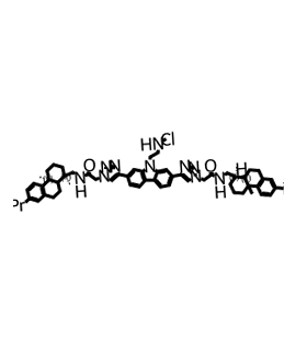 CC(C)c1ccc2c(c1)CC[C@@H]1C2(C)CCC[C@@]1(C)CNC(=O)Cn1cc(-c2ccc3c4ccc(-c5cn(CC(=O)NC[C@]6(C)CCC[C@]7(C)c8ccc(C(C)C)cc8CCC67)nn5)cc4n(CCNCl)c3c2)nn1